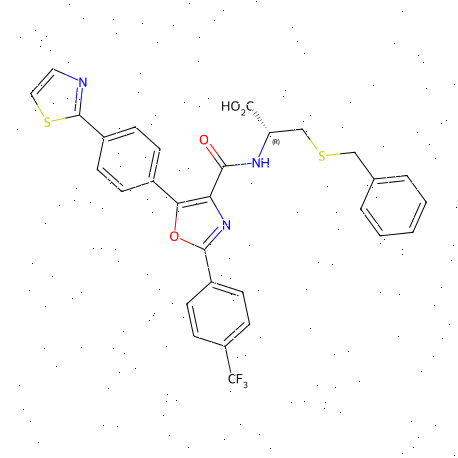 O=C(N[C@@H](CSCc1ccccc1)C(=O)O)c1nc(-c2ccc(C(F)(F)F)cc2)oc1-c1ccc(-c2nccs2)cc1